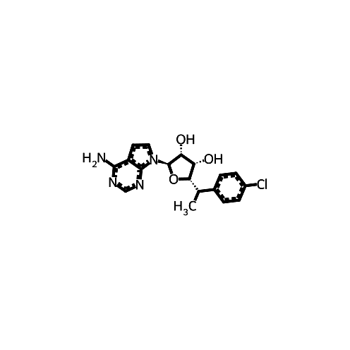 CC(c1ccc(Cl)cc1)[C@@H]1O[C@@H](n2ccc3c(N)ncnc32)[C@H](O)[C@@H]1O